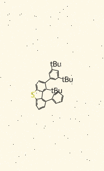 CC(C)(C)c1cc(-c2ccc3sc4cccc(-c5ccccc5)c4c3c2C(C)(C)C)cc(C(C)(C)C)c1